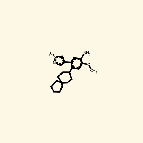 COc1cc(C2CCC3(CCCCC3)CC2)c(-c2cnn(C)c2)cc1N